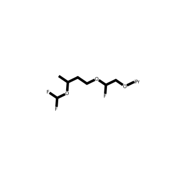 CC(C)OCC(F)OCCC(C)OC(F)F